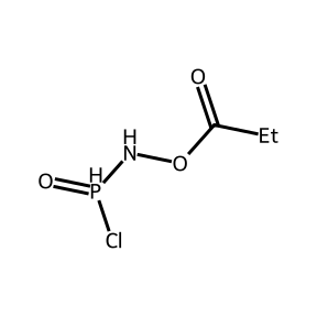 CCC(=O)ON[PH](=O)Cl